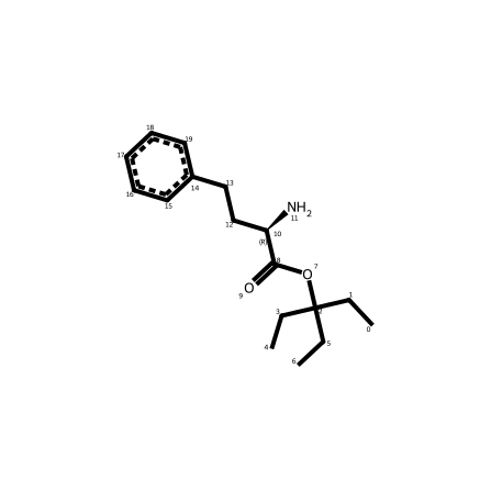 CCC(CC)(CC)OC(=O)[C@H](N)CCc1ccccc1